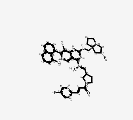 C/[N+](=C\C1CCN(C(=O)/C=C/c2ncc(F)cn2)C1)c1nc(OC[C@@]23CCCN2C[C@H](F)C3)nc2c(F)c(-c3cccc4cccc(Cl)c34)ncc12